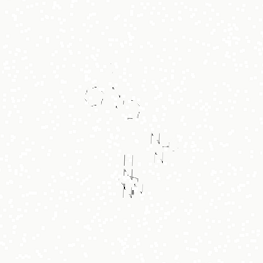 O=C(N1CC(c2ccc(N(CC3CC3)c3ccccc3)nc2)C1)N1CC[C@H](c2nnn[nH]2)C1